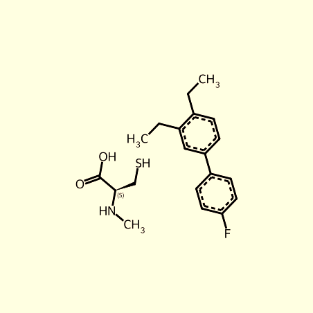 CCc1ccc(-c2ccc(F)cc2)cc1CC.CN[C@H](CS)C(=O)O